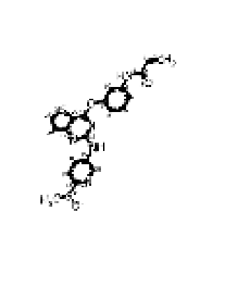 C=CC(=O)Nc1cccc(Oc2nc(Nc3ccc([S+](C)[O-])nc3)nc3ccsc23)c1